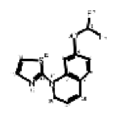 FC(F)Oc1ccc2c(c1)N(c1nccs1)CC=C2